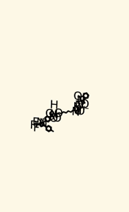 Cc1ccc(-c2cc(C(F)(F)F)nn2-c2ccc(S(=O)(=O)NC(=O)OCCCCCCN(C)[N+]([O-])=NOC(C)N3C(=O)c4ccccc4C3=O)cc2)cc1